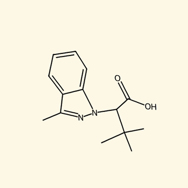 Cc1nn(C(C(=O)O)C(C)(C)C)c2ccccc12